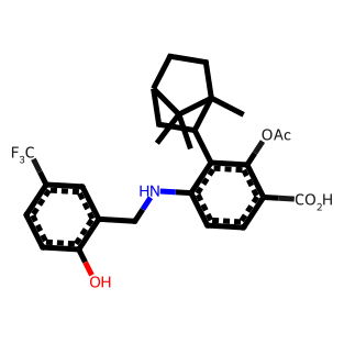 CC(=O)Oc1c(C(=O)O)ccc(NCc2cc(C(F)(F)F)ccc2O)c1C1CC2CCC1(C)C2(C)C